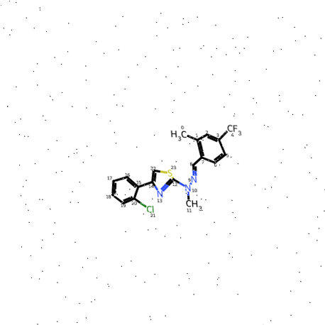 Cc1cc(C(F)(F)F)ccc1/C=N/N(C)c1nc(-c2ccccc2Cl)cs1